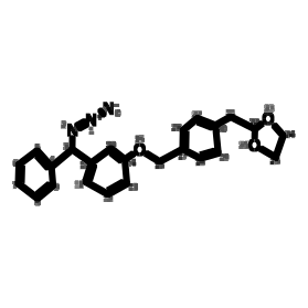 [N-]=[N+]=NC(c1ccccc1)c1cccc(OCc2ccc(CC3OCCO3)cc2)c1